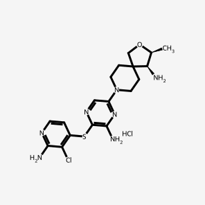 C[C@@H]1OCC2(CCN(c3cnc(Sc4ccnc(N)c4Cl)c(N)n3)CC2)[C@@H]1N.Cl